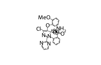 COc1ccccc1OC1=C(Cl)N=C(c2ncccn2)N(c2ccccc2S(N)(=O)=O)C1C(C)(C)C